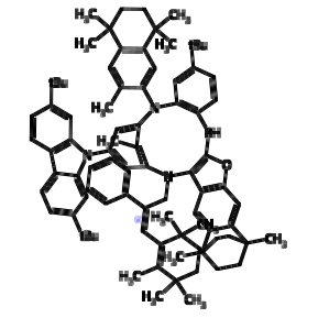 CC1=C(/C=C(\CN2c3cc(-n4c5cc(C(C)(C)C)ccc5c5ccc(C(C)(C)C)cc54)cc(c3C)N(c3cc4c(cc3C)C(C)(C)CCC4(C)C)c3cc(C(C)(C)C)ccc3Bc3oc4cc5c(cc4c32)C2(C)CCC5(C)CC2)c2ccccc2)C(C)(C)CCC1(C)C